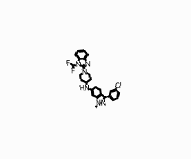 Cn1nc(-c2cccc(Cl)c2)c2ccc(NC3CCN(c4nc5ccccc5n4C(F)F)CC3)cc21